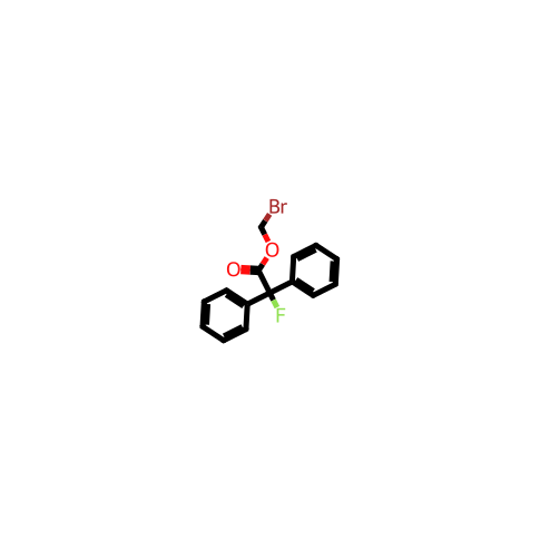 O=C(OCBr)C(F)(c1ccccc1)c1ccccc1